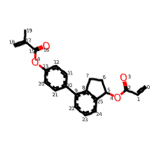 C=CC(=O)OC1CCc2c(-c3ccc(OC(=O)C(=C)C)cc3)cccc21